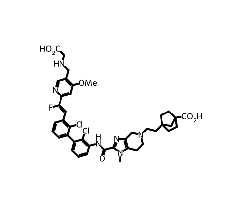 COc1cc(/C(F)=C/c2cccc(-c3cccc(NC(=O)c4nc5c(n4C)CCN(CCC46CCC(C(=O)O)(CC4)C6)C5)c3Cl)c2Cl)ncc1CNCC(=O)O